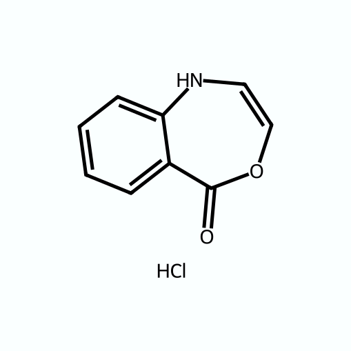 Cl.O=C1OC=CNc2ccccc21